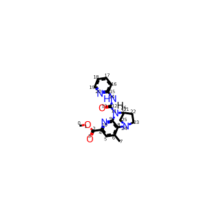 COC(=O)c1cc(C)c2c(n1)N(C(=O)Nc1ccccn1)[C@H]1CCN2C1